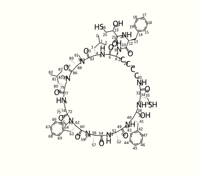 CC(C)C[C@@H]1NC(=O)[C@@H](NC(=O)[C@H](Cc2ccccc2)NC(=O)C(O)CS)CCCCNC(=O)[C@H](CS)NC(O)[C@H](Cc2ccccc2)NC(=O)[C@H](C)NC(=O)[C@H](C)N(C)C(=O)[C@H](Cc2ccccc2)N(C)C(=O)[C@H](C)NC(=O)[C@H](CC(C)C)N(C)C(=O)[C@H](C)N(C)C1=O